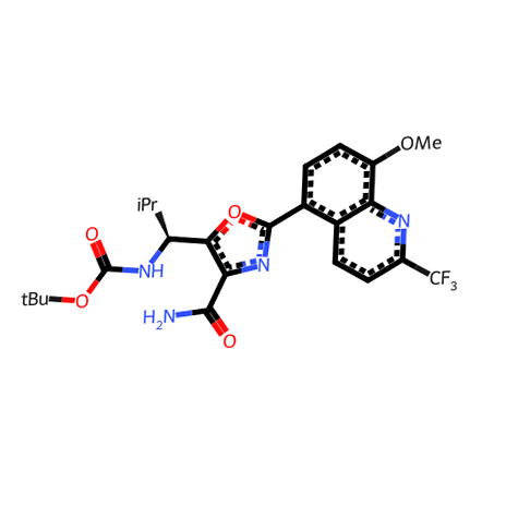 COc1ccc(-c2nc(C(N)=O)c([C@@H](NC(=O)OC(C)(C)C)C(C)C)o2)c2ccc(C(F)(F)F)nc12